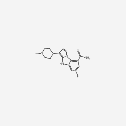 CN1CCC(c2cnn3c2[nH]c2cc(F)cc(C(N)=O)c23)CC1